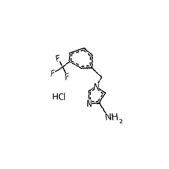 Cl.Nc1cn(Cc2cccc(C(F)(F)F)c2)cn1